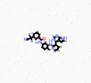 Cc1ccc(NC(=O)c2cccc(C(C)(C)C#N)c2)cc1Nc1ncccc1-c1ncnc2[nH]ccc12